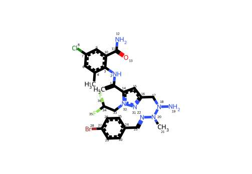 C=C(Nc1c(C)cc(Cl)cc1C(N)=O)c1cc(CN(N)N(C)N=Cc2ccc(Br)cc2)nn1CC(F)F